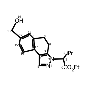 CCOC(=O)C(C(C)C)n1ncc2c1CCc1cc(CO)ccc1-2